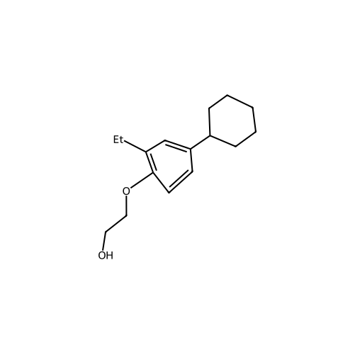 CCc1cc(C2CCCCC2)ccc1OCCO